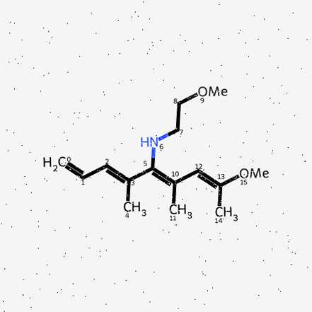 C=C/C=C(C)/C(NCCOC)=C(C)/C=C(\C)OC